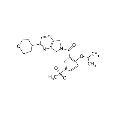 CC(Oc1ccc(S(C)(=O)=O)cc1C(=O)N1Cc2ccc(C3CCOCC3)nc2C1)C(F)(F)F